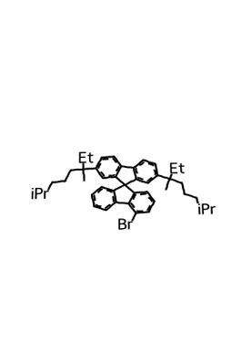 CCC(C)(CCCC(C)C)c1ccc2c(c1)C1(c3cc(C(C)(CC)CCCC(C)C)ccc3-2)c2ccccc2-c2c(Br)cccc21